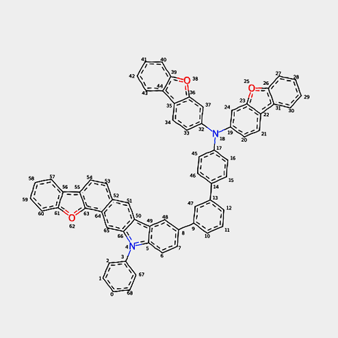 c1ccc(-n2c3ccc(-c4cccc(-c5ccc(N(c6ccc7c(c6)oc6ccccc67)c6ccc7c(c6)oc6ccccc67)cc5)c4)cc3c3cc4ccc5c6ccccc6oc5c4cc32)cc1